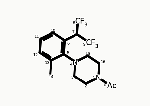 CC(=O)N1CCN(c2c(C(C(F)(F)F)C(F)(F)F)[c]ccc2C)CC1